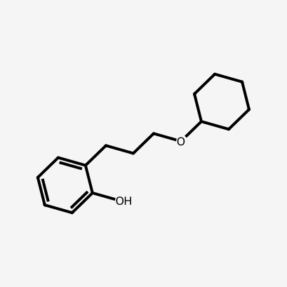 Oc1ccccc1CCCOC1CCCCC1